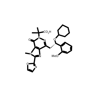 COc1ccccc1[C@H](Cc1nn(C(C)(C)C(=O)O)c(=O)c2c1nc(-c1ncco1)n2C)OC1CCCCC1